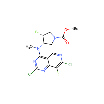 CN(c1nc(Cl)nc2c(F)c(Cl)ncc12)[C@H]1CN(C(=O)OC(C)(C)C)C[C@H]1F